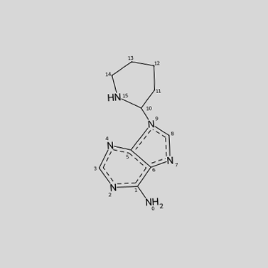 Nc1ncnc2c1ncn2C1CCCCN1